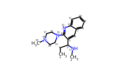 CCC(NC)c1cc2ccccc2nc1N1CCN(C)CC1